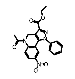 CCOC(=O)c1nn(-c2ccccc2)c2c1CN(C(C)=O)c1ccc([N+](=O)[O-])cc1-2